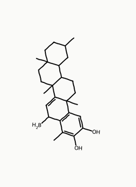 BC1C=C2C(C)(CCC3C4CC(C)CCC4(C)CCC23C)c2cc(O)c(O)c(C)c21